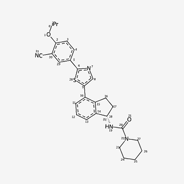 CC(C)Oc1ccc(-c2ncc(-c3cccc4c3CC[C@@H]4NC(=O)N3CCCCC3)s2)cc1C#N